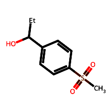 CCC(O)c1ccc(S(C)(=O)=O)cc1